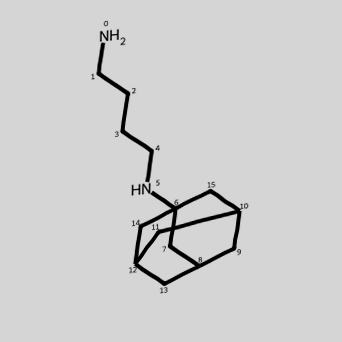 NCCCCNC12CC3CC(CC(C3)C1)C2